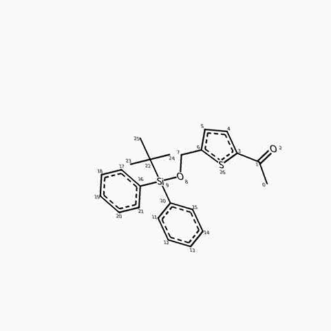 CC(=O)c1ccc(CO[Si](c2ccccc2)(c2ccccc2)C(C)(C)C)s1